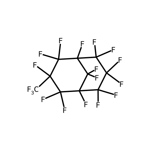 FC(F)(F)C1(F)C(F)(F)C2(F)C(F)(F)C(F)(F)C(F)(F)C(F)(C1(F)F)C2(F)F